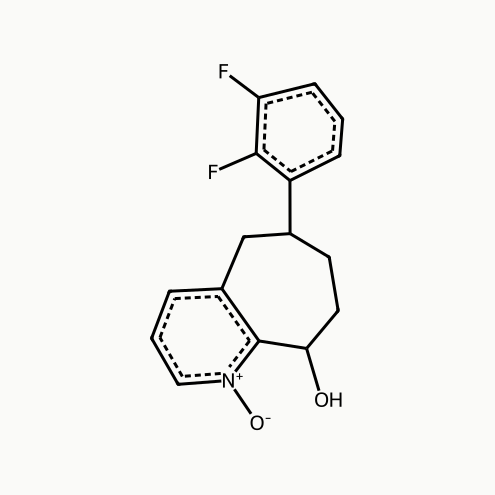 [O-][n+]1cccc2c1C(O)CCC(c1cccc(F)c1F)C2